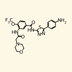 Nc1ccc(-c2nnc(NC(=O)c3ccc(OC(F)(F)F)c(NC(=O)CN4CCOCC4)c3)s2)cc1